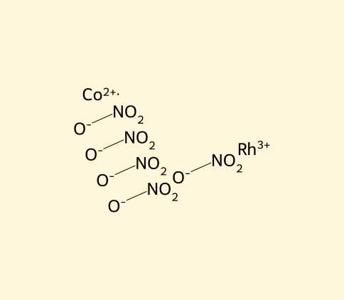 O=[N+]([O-])[O-].O=[N+]([O-])[O-].O=[N+]([O-])[O-].O=[N+]([O-])[O-].O=[N+]([O-])[O-].[Co+2].[Rh+3]